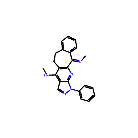 C/N=C1\c2ccccc2CCc2c1nc1c(cnn1-c1ccccc1)c2NC